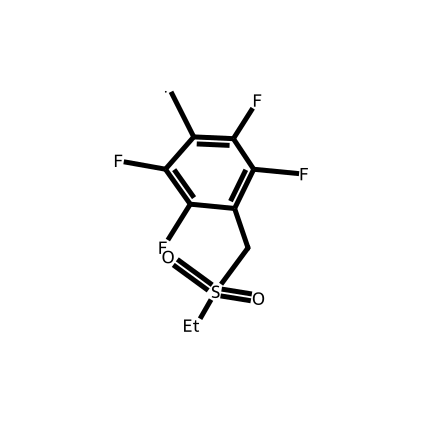 [CH2]c1c(F)c(F)c(CS(=O)(=O)CC)c(F)c1F